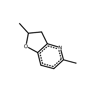 Cc1ccc2c(n1)CC(C)O2